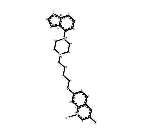 Cc1cc2ccc(OCCCCN3CCN(c4cccc5sccc45)CC3)cc2[n+]([O-])c1